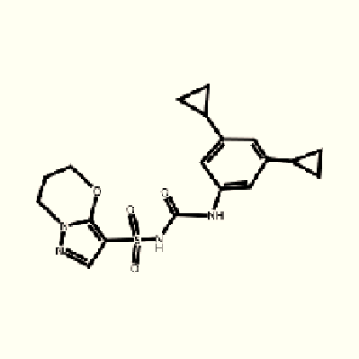 O=C(Nc1cc(C2CC2)cc(C2CC2)c1)NS(=O)(=O)c1cnn2c1OCCC2